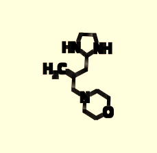 C=C(CC1NCCN1)CN1CCOCC1